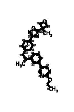 CCOc1ncc(-c2cccc(N(C)CC34CCC(c5noc(C6(C)COC6)n5)(CC3)CC4)c2)cn1